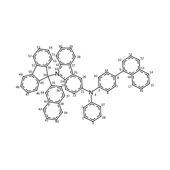 c1ccc(N(c2ccc(-c3cccc4ccccc34)cc2)c2ccc3c(c2)c2ccccc2n3C2(c3ccc4ccccc4c3)c3ccccc3-c3ccccc32)cc1